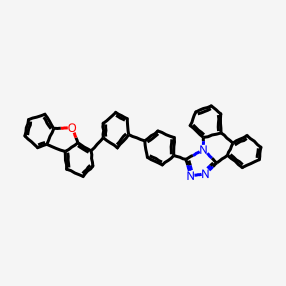 c1cc(-c2ccc(-c3nnc4c5ccccc5c5ccccc5n34)cc2)cc(-c2cccc3c2oc2ccccc23)c1